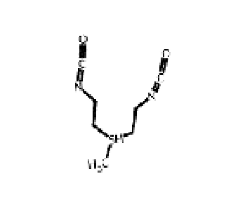 C[SH](CCN=C=O)CCN=C=O